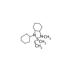 C=CS1(C)N(C)C2CCCCC2N1C1CCCCC1